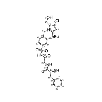 CCCCc1nc(Cl)c(CO)n1Cc1ccc(S(=O)(=O)NC(=O)CNC(=O)[C@@H](S)Cc2ccccc2)cc1